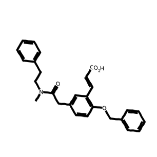 CN(CCc1ccccc1)C(=O)Cc1ccc(OCc2ccccc2)c(C=CC(=O)O)c1